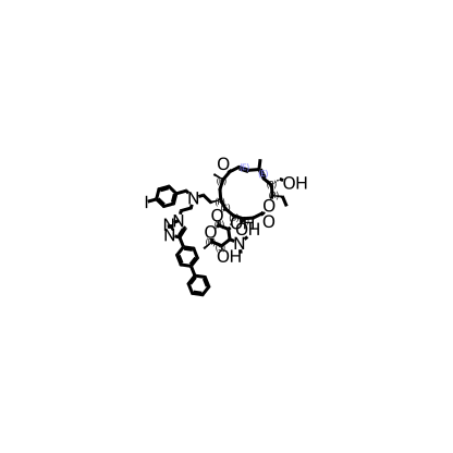 CC[C@H]1OC(=O)C[C@@H](O)[C@H](C)[C@@H](O[C@@H]2O[C@H](C)[C@@H](O)C(N(C)C)C2O)[C@@H](CCN(CCn2cc(-c3ccc(-c4ccccc4)cc3)nn2)Cc2ccc(I)cc2)C[C@@H](C)C(=O)/C=C/C(C)=C/[C@@H]1CO